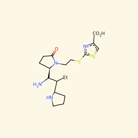 CCC(C1CCCN1)C(N)[C@H]1CCC(=O)N1CCSc1nc(C(=O)O)cs1